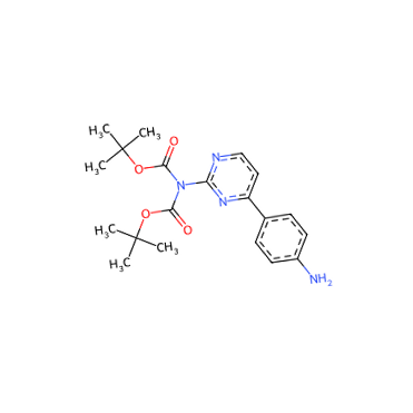 CC(C)(C)OC(=O)N(C(=O)OC(C)(C)C)c1nccc(-c2ccc(N)cc2)n1